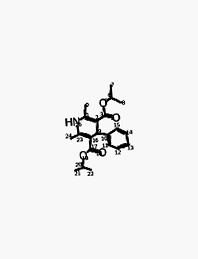 CC1=C(C(=O)OC(C)C)C(c2ccccc2)C(C(=O)OC(C)C)=C(C)N1